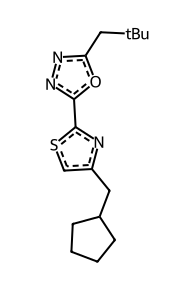 CC(C)(C)Cc1nnc(-c2nc(CC3CCCC3)cs2)o1